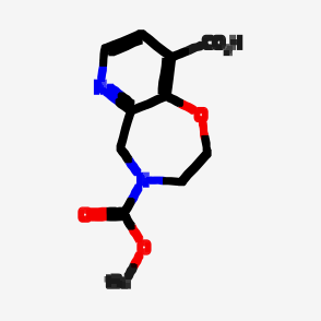 CC(C)(C)OC(=O)N1CCOc2c(C(=O)O)ccnc2C1